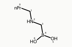 CCCCNCB(O)O